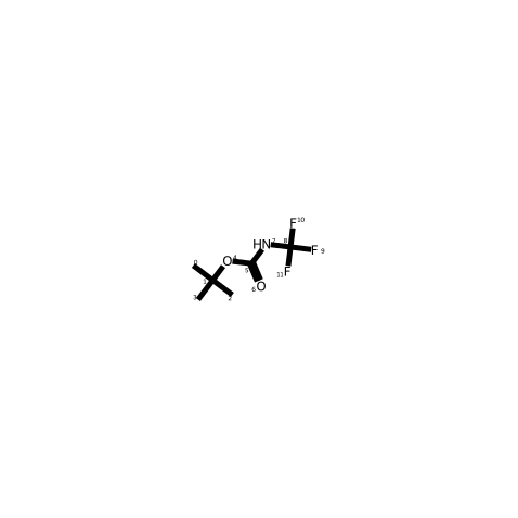 CC(C)(C)OC(=O)NC(F)(F)F